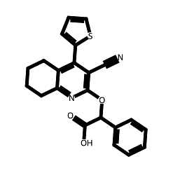 N#Cc1c(OC(C(=O)O)c2ccccc2)nc2c(c1-c1cccs1)CCCC2